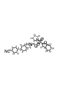 N#Cc1ccc(-c2ccc(CNC(=O)[C@@H]3CCCN3S(=O)(=O)c3cc4ccccc4o3)cc2)cc1